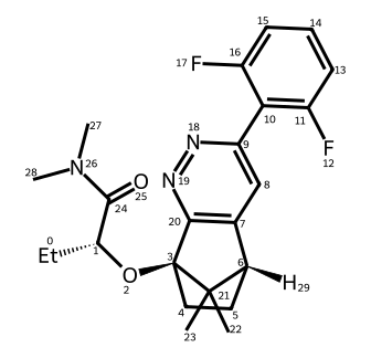 CC[C@@H](O[C@@]12CC[C@@H](c3cc(-c4c(F)cccc4F)nnc31)C2(C)C)C(=O)N(C)C